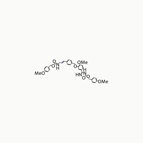 COc1ccc(COC(=O)NC/C=C/c2ccc(COc3cc(C(=N)NC(=O)OCc4ccc(OC)cc4)ccc3OC)cc2)cc1